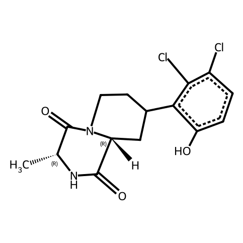 C[C@H]1NC(=O)[C@H]2CC(c3c(O)ccc(Cl)c3Cl)CCN2C1=O